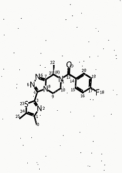 Cc1nc(-c2nnc3n2CCN(C(=O)c2ccc(F)cc2)[C@@H]3C)sc1C